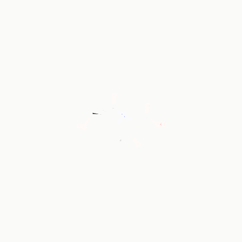 CC(O)[C@H]1C(=O)N2C(C(=O)O)C(=O)[C@H](C)[C@@H]12